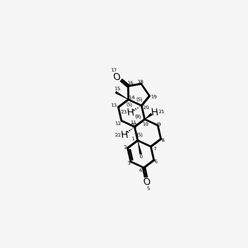 C[C@]12C=CC(=O)CC1C[CH][C@@H]1[C@@H]2CC[C@]2(C)C(=O)CC[C@@H]12